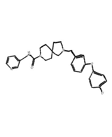 O=C(Nc1cccnc1)N1CCC2(CCN(Cc3cccc(Oc4ccc(Cl)cc4)c3)C2)CC1